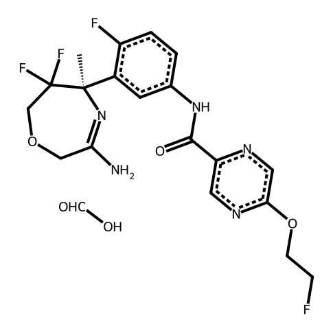 C[C@]1(c2cc(NC(=O)c3cnc(OCCF)cn3)ccc2F)N=C(N)COCC1(F)F.O=CO